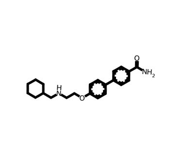 NC(=O)c1ccc(-c2ccc(OCCNCC3CCCCC3)cc2)cc1